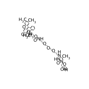 [2H]CC1OC(N2C=C(C)C(NCCCOCCOCCOCCCNC(=O)OCCN(C)C(=O)c3ccccc3-c3c4cc(C)c(=O)cc-4oc4cc(C)c(C)cc34)NC2=O)CC1O